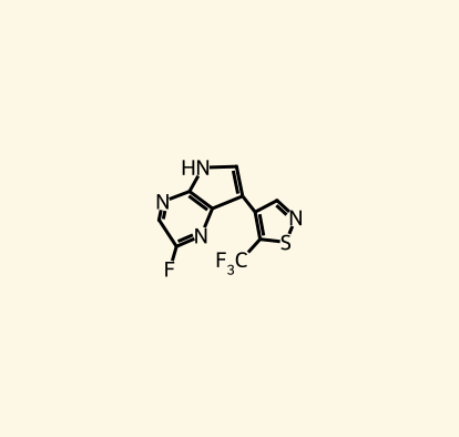 Fc1cnc2[nH]cc(-c3cnsc3C(F)(F)F)c2n1